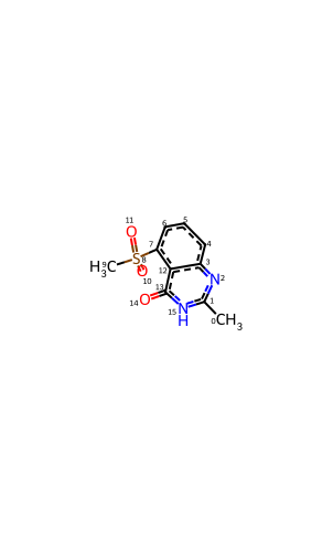 Cc1nc2cccc(S(C)(=O)=O)c2c(=O)[nH]1